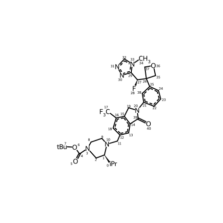 CC(C)[C@H]1CN(C(=O)OC(C)(C)C)CCN1Cc1cc2c(c(C(F)(F)F)c1)CN(c1cccc(C3([C@@H](F)c4nncn4C)COC3)c1)C2=O